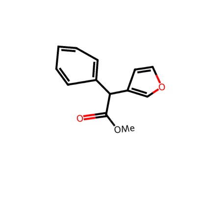 COC(=O)C(c1ccccc1)c1ccoc1